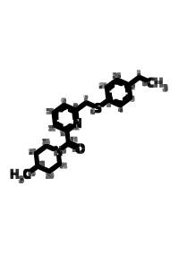 CCc1ccc(SCc2cccc(C(=O)N3CCC(C)CC3)n2)cc1